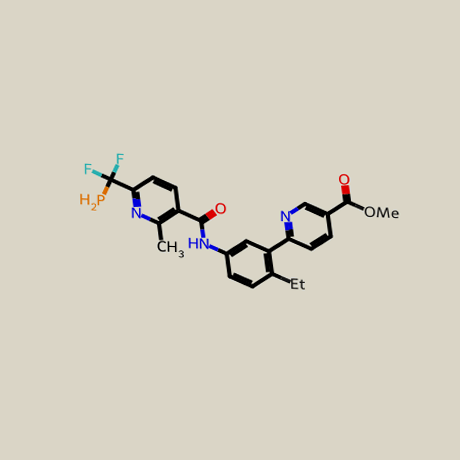 CCc1ccc(NC(=O)c2ccc(C(F)(F)P)nc2C)cc1-c1ccc(C(=O)OC)cn1